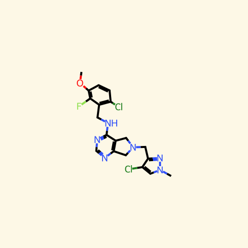 COc1ccc(Cl)c(CNc2ncnc3c2CN(Cc2nn(C)cc2Cl)C3)c1F